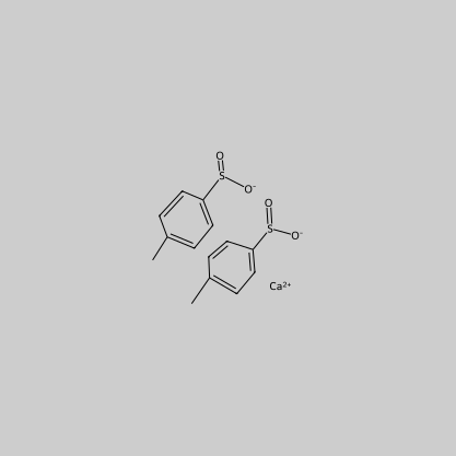 Cc1ccc(S(=O)[O-])cc1.Cc1ccc(S(=O)[O-])cc1.[Ca+2]